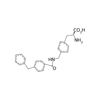 N[C@@H](Cc1ccc(CNC(=O)c2ccc(Cc3ccccc3)cc2)cc1)C(=O)O